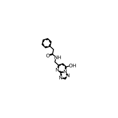 O=C(Cc1ccccc1)NCc1cc(O)n2ncnc2n1